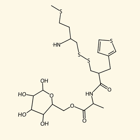 CSCCC([NH])CSSCC(Cc1ccsc1)C(=O)NC(C)C(=O)OCC1OC(O)C(O)C(O)C1O